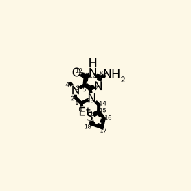 CCC1CN(C)c2c(nc(N)[nH]c2=O)N1Cc1cccs1